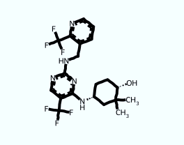 CC1(C)C[C@H](Nc2nc(NCc3cccnc3C(F)(F)F)ncc2C(F)(F)F)CC[C@@H]1O